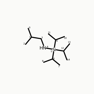 CC(C)CN[Si](C(C)C)(C(C)C)C(C)C